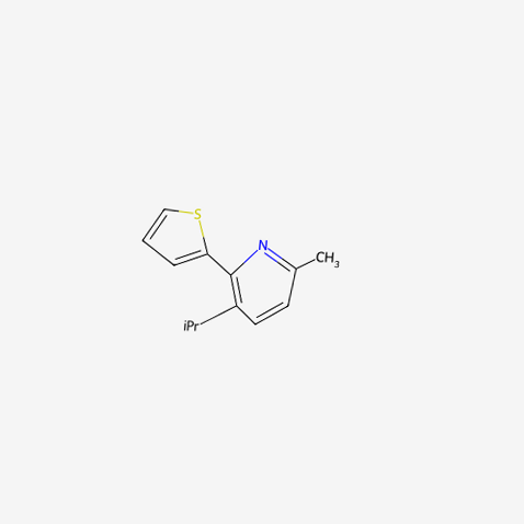 Cc1ccc(C(C)C)c(-c2cccs2)n1